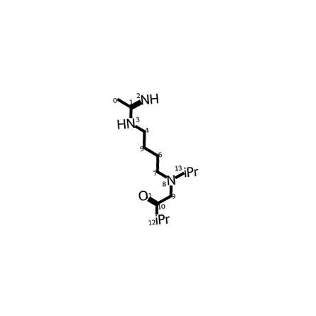 CC(=N)NCCCCN(CC(=O)C(C)C)C(C)C